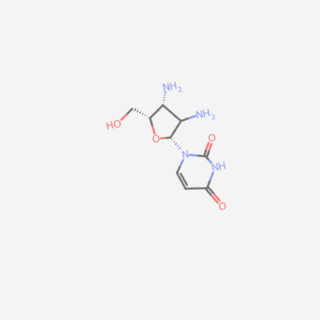 NC1[C@@H](N)[C@@H](CO)O[C@H]1n1ccc(=O)[nH]c1=O